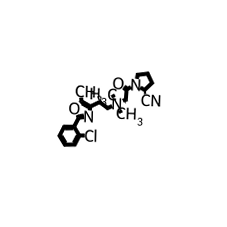 Cc1oc(-c2ccccc2Cl)nc1CC[N+](C)(C)CC(=O)N1CCC[C@H]1C#N